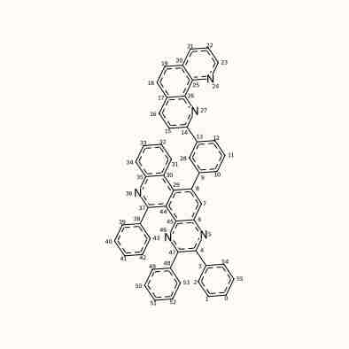 c1ccc(-c2nc3cc(-c4cccc(-c5ccc6ccc7cccnc7c6n5)c4)c4c5ccccc5nc(-c5ccccc5)c4c3nc2-c2ccccc2)cc1